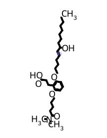 CCCCCCCCC(O)/C=C/CCCCOc1cccc(OCCCCC(=O)N(C)C)c1CCC(=O)O